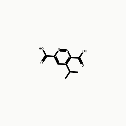 CC(C)c1cc(C(=O)O)nnc1C(=O)O